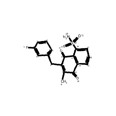 CC1=C(Cc2cccc(F)c2)C(=O)c2c(cccc2S(N)(=O)=O)C1=O